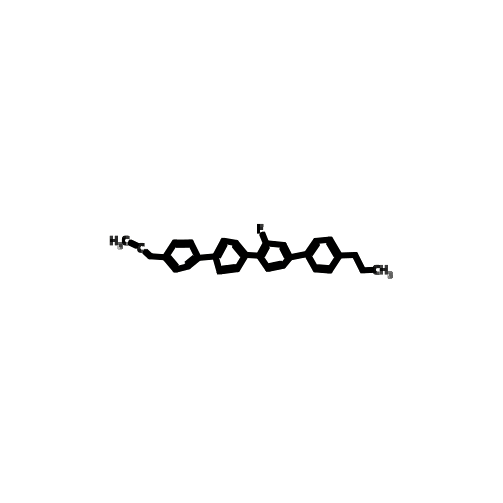 CCCc1ccc(-c2ccc(-c3ccc(-c4ccc(CCC)cc4)cc3F)cc2)cc1